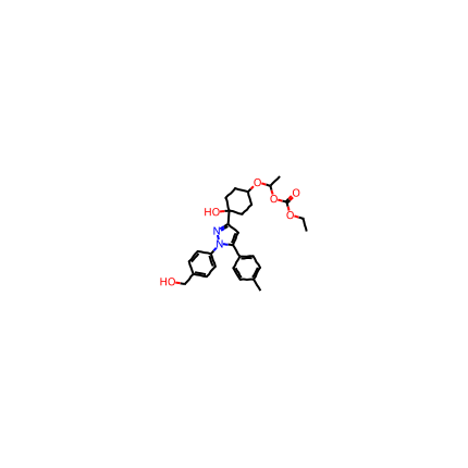 CCOC(=O)OC(C)OC1CCC(O)(c2cc(-c3ccc(C)cc3)n(-c3ccc(CO)cc3)n2)CC1